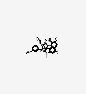 CCOc1cccc(CN2[C@@H](CCO)[C@@H](N)[C@H](c3cccc(Cl)c3F)[C@]23C(=O)Nc2cc(Cl)ccc23)c1